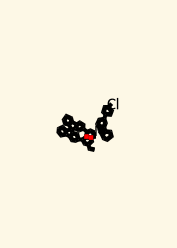 C=Cc1cccc(-c2ccc3c(c2)C2(c4ccccc4-3)c3ccccc3-c3ccc(-c4cccc(-n5c6ccccc6c6cc(-c7ccc(Cl)cc7)ccc65)c4)cc32)c1